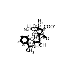 C[C@@H](NC(=O)[C@@H](O)[C@@H]1C(=O)N2[C@@H](C(=O)[O-])C(C)(C)S(=O)(=O)[C@H]12)c1ccccc1.[Na+]